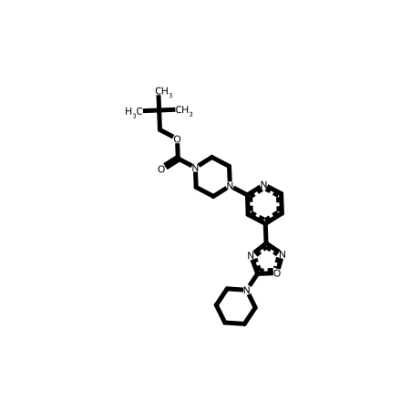 CC(C)(C)COC(=O)N1CCN(c2cc(-c3noc(N4CCCCC4)n3)ccn2)CC1